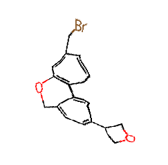 BrCc1ccc2c(c1)OCc1ccc(C3COC3)cc1-2